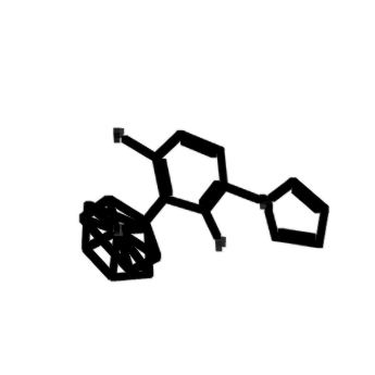 Fc1ccc(-n2cccc2)c(F)c1[C]12[CH]3[CH]4[CH]5[CH]1[Ti]45321678[CH]2[CH]1[CH]6[CH]7[CH]28